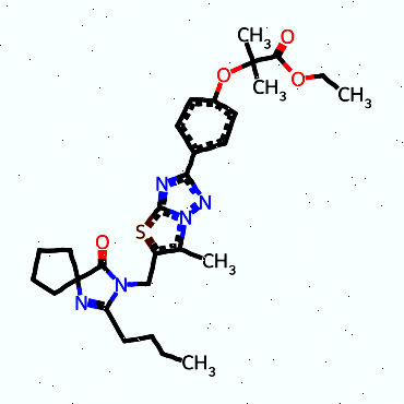 CCCCC1=NC2(CCCC2)C(=O)N1Cc1sc2nc(-c3ccc(OC(C)(C)C(=O)OCC)cc3)nn2c1C